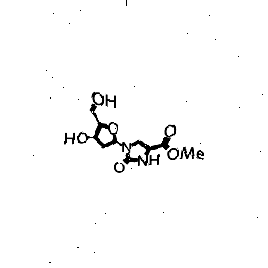 COC(=O)C1CN([C@H]2C[C@H](O)[C@@H](CO)O2)C(=O)N1